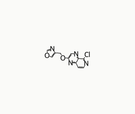 Clc1nccc2nc(OCc3cocn3)cnc12